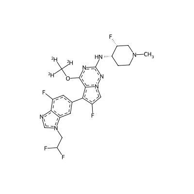 [2H]C([2H])([2H])Oc1nc(N[C@H]2CCN(C)C[C@H]2F)nn2cc(F)c(-c3cc(F)c4ncn(CC(F)F)c4c3)c12